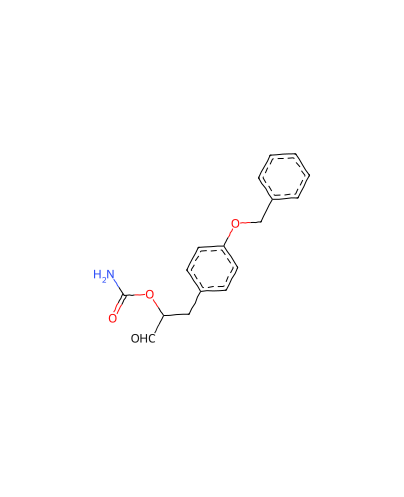 NC(=O)OC(C=O)Cc1ccc(OCc2ccccc2)cc1